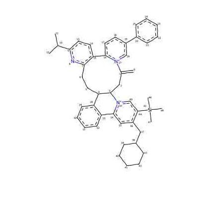 C=C1CC2C(CCc3nc(C(C)C)ccc3-c3ccc(-c4ccccc4)c[n+]31)c1ccccc1-c1cc(CC3CCCCC3)c([Si](C)(C)C)c[n+]12